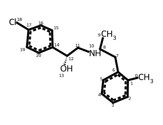 Cc1ccccc1CC(C)NC[C@H](O)c1ccc(Cl)cc1